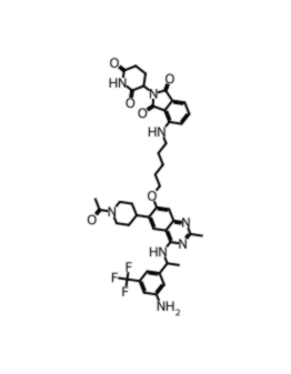 CC(=O)N1CCC(c2cc3c(NC(C)c4cc(N)cc(C(F)(F)F)c4)nc(C)nc3cc2OCCCCCNc2cccc3c2C(=O)N(C2CCC(=O)NC2=O)C3=O)CC1